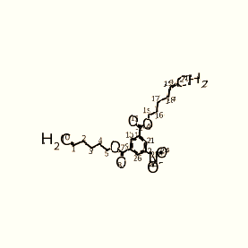 C=CCCCCOC(=O)c1cc(C(=O)OCCCCC=C)cc([N+](=O)[O-])c1